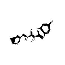 O=C(NCc1cccnc1)Nc1nc2ccc(Br)cc2s1